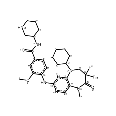 COc1cc(C(=O)NC2CCCNC2)ccc1Nc1ncc2c(n1)N(C1CCCCC1)CC(F)(F)C(=O)N2C